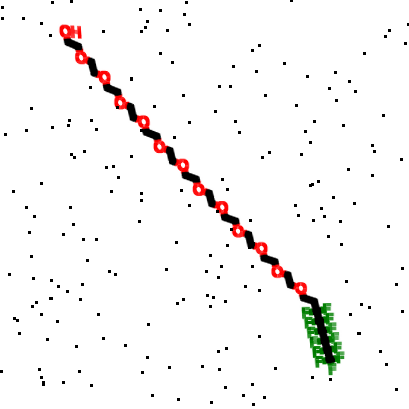 OCCOCCOCCOCCOCCOCCOCCOCCOCCOCCOCCOCCOCCC(F)(F)C(F)(F)C(F)(F)C(F)(F)C(F)(F)C(F)(F)F